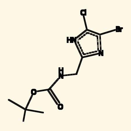 CC(C)(C)OC(=O)NCc1nc(Br)c(Cl)[nH]1